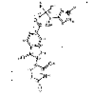 Cn1cc(C(NC(=O)c2ccc3c(c2)CN(C2CCC(=O)NC2=O)C3=O)C(F)(F)F)cn1